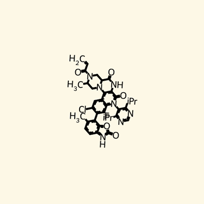 C=CC(=O)N1CC2C(=O)Nc3c(c4cc(Cl)c(-c5c(C)ccc6[nH]c(=O)oc56)c(F)c4n(-c4c(C(C)C)ncnc4C(C)C)c3=O)N2CC1C